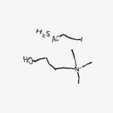 CC(=O)I.C[N+](C)(C)CCO.S